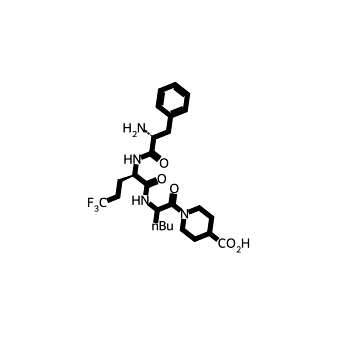 CCCCC(NC(=O)[C@@H](CCC(F)(F)F)NC(=O)[C@H](N)Cc1ccccc1)C(=O)N1CCC(C(=O)O)CC1